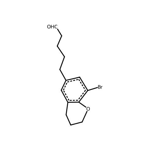 O=CCCCCc1cc(Br)c2c(c1)CCCO2